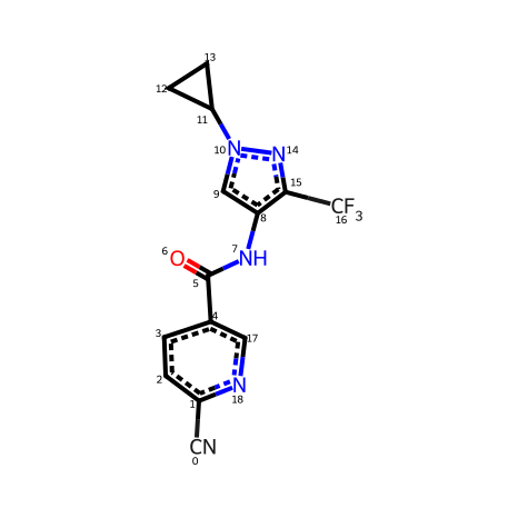 N#Cc1ccc(C(=O)Nc2cn(C3CC3)nc2C(F)(F)F)cn1